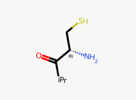 CC(C)C(=O)[C@@H](N)CS